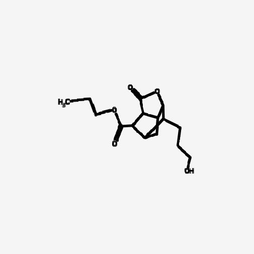 CCCOC(=O)C1C2CC3C(OC(=O)C31)C2CCCO